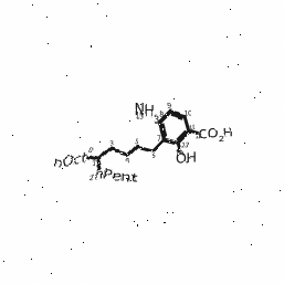 CCCCCCCCC(CCCCC)CCCCc1cccc(C(=O)O)c1O.N